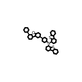 c1ccc(-c2cccc3c2oc2ccc(-c4ccc(N(c5cccc6c5sc5ccccc56)c5cccc6c5sc5ccccc56)cc4)cc23)cc1